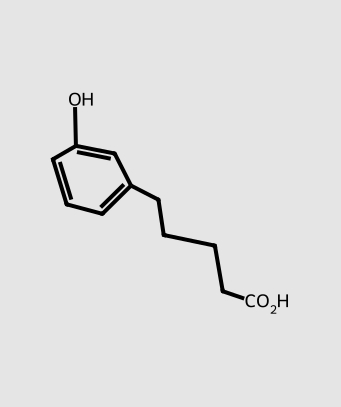 O=C(O)CCCCc1cccc(O)c1